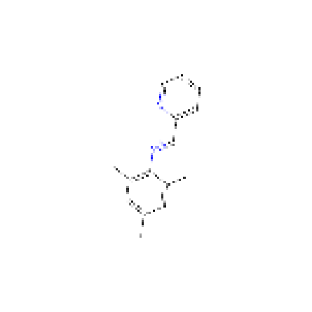 Cc1cc(C)c(/N=C/c2ccccn2)c(C)c1